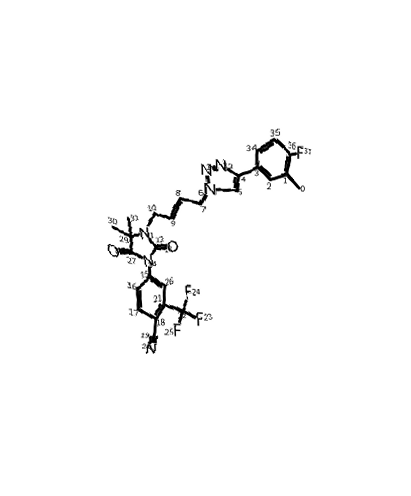 Cc1cc(-c2cn(CC=CCN3C(=O)N(c4ccc(C#N)c(C(F)(F)F)c4)C(=O)C3(C)C)nn2)ccc1F